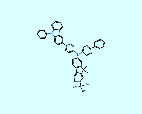 CC(C)[Si](c1ccc2c(c1)C(C)(C)c1cc(N(c3ccc(-c4ccccc4)cc3)c3ccc(-c4ccc5c(c4)c4ccccc4n5-c4ccccc4)cc3)ccc1-2)(C(C)C)C(C)C